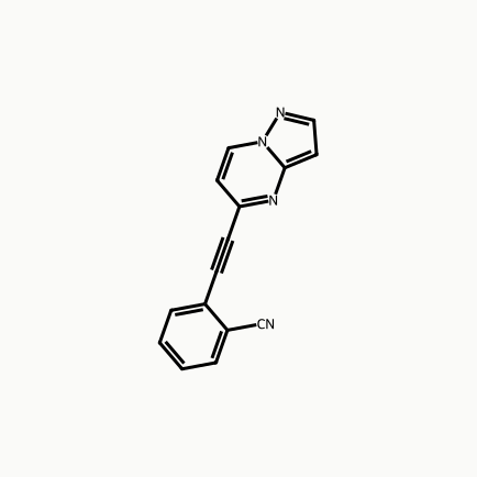 N#Cc1ccccc1C#Cc1ccn2nccc2n1